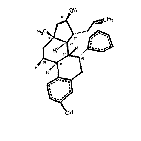 C=CC[C@@H]1[C@H]2[C@H]3[C@@H](c4ccc(O)cc4C[C@H]3c3ccccc3)[C@@H](F)C[C@]2(C)C[C@H]1O